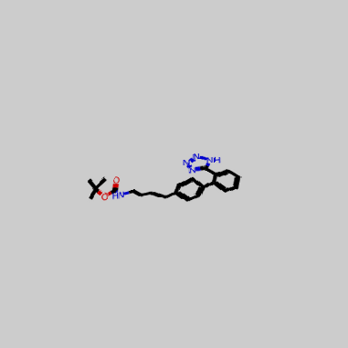 CC(C)(C)OC(=O)NCCCCc1ccc(-c2ccccc2-c2nnn[nH]2)cc1